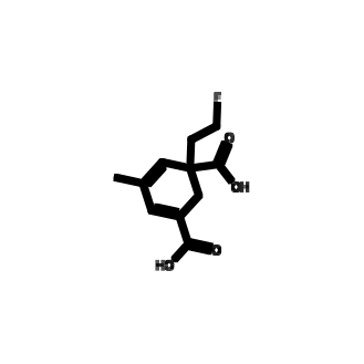 CC1=CC(CCF)(C(=O)O)CC(C(=O)O)=C1